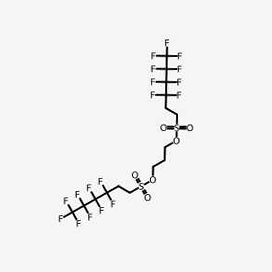 O=S(=O)(CCC(F)(F)C(F)(F)C(F)(F)C(F)(F)F)OCCCOS(=O)(=O)CCC(F)(F)C(F)(F)C(F)(F)C(F)(F)F